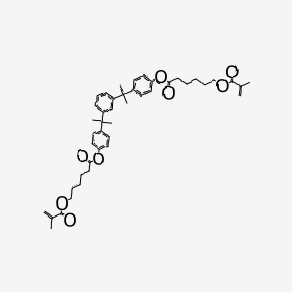 C=C(C)C(=O)OCCCCCC(=O)Oc1ccc(C(C)(C)c2cccc(C(C)(C)c3ccc(OC(=O)CCCCCOC(=O)C(=C)C)cc3)c2)cc1